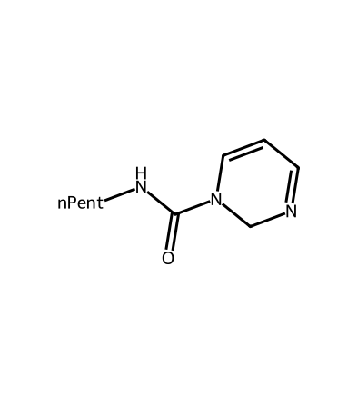 CCCCCNC(=O)N1C=CC=NC1